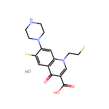 Cl.O=C(O)c1cn(CCF)c2cc(N3CCNCC3)c(F)cc2c1=O